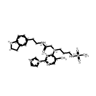 Cc1cnc(-n2ccnc2)nc1N(CCCNS(C)(=O)=O)CC(=O)NCCc1ccc2c(c1)CCO2